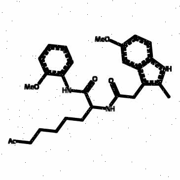 COc1ccc2[nH]c(C)c(CC(=O)NC(CCCCCC(C)=O)C(=O)Nc3ccccc3OC)c2c1